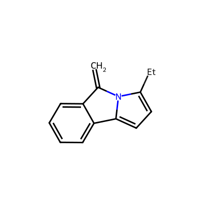 C=c1c2ccccc2c2ccc(CC)n12